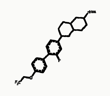 CCCCCCC1CCC2CC(c3ccc(-c4ccc(OCC(F)(F)F)cc4)c(F)c3)CCC2C1